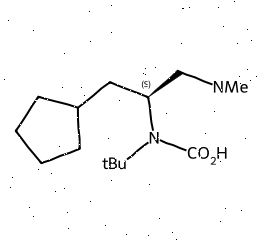 CNC[C@H](CC1CCCC1)N(C(=O)O)C(C)(C)C